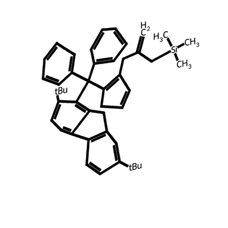 C=C(CC1=C(C(c2ccccc2)(c2ccccc2)c2c(C(C)(C)C)ccc3c2Cc2cc(C(C)(C)C)ccc2-3)CC=C1)C[Si](C)(C)C